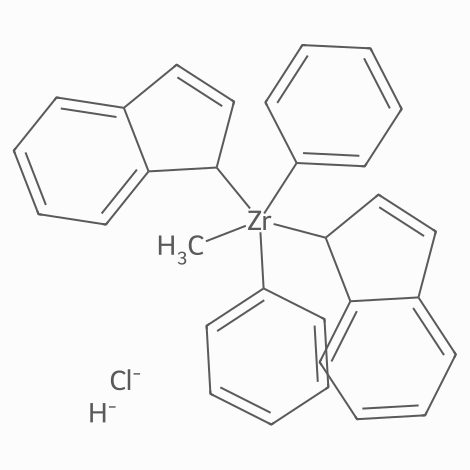 [CH3][Zr]([c]1ccccc1)([c]1ccccc1)([CH]1C=Cc2ccccc21)[CH]1C=Cc2ccccc21.[Cl-].[H-]